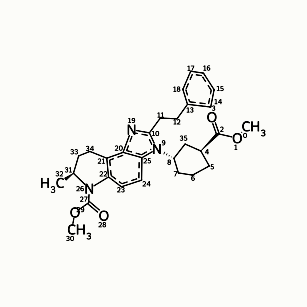 COC(=O)[C@H]1CCC[C@H](n2c(CCc3ccccc3)nc3c4c(ccc32)N(C(=O)OC)[C@@H](C)CC4)C1